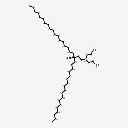 CCCCCCCCCCCCCCCCCCC(N)(CCCCCCCCCCCCCCCCCC)CCN(CCO)CCO